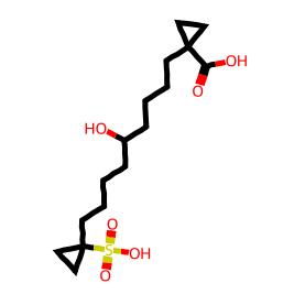 O=C(O)C1(CCCCC(O)CCCCC2(S(=O)(=O)O)CC2)CC1